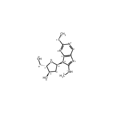 CNc1nc2cnc(SC)nc2n1[C@H]1C[C@@H](O)[C@H](CO)O1